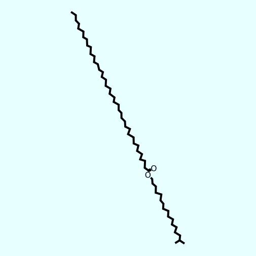 CCCCCCCCCCCCCCCCCCCCCCCCCCCCCCCCCCCCCCCC(=O)OCCCCCCCCCCCCCCCC(C)C